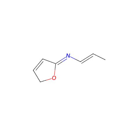 CC=CN=C1C=CCO1